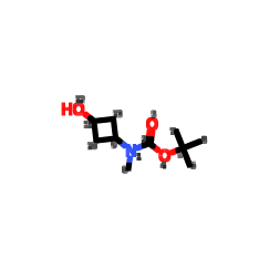 CN(C(=O)OC(C)(C)C)C1CC(O)C1